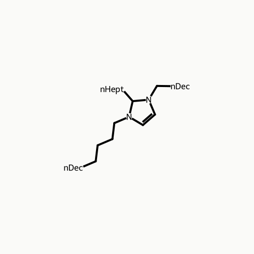 CCCCCCCCCCCCCCN1C=CN(CCCCCCCCCCC)C1CCCCCCC